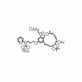 COCOc1cc(OCCCN(C(=O)OC(C)(C)C)c2ccccn2)cc2c1C(=O)OC(C)[C@H](C)/C=C\C(O)C1OC(C)(C)OC1C/C=C/2